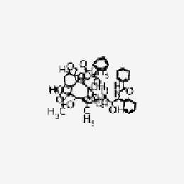 CC(=O)O[C@H]1C(=O)[C@@]2(C)[C@H]([C@H](OC(=O)c3ccccc3)[C@]3(O)C[C@H](OC(=O)[C@H](O)[C@@H](NC(=O)c4ccccc4)c4ccccc4)C(C)=C1C3(C)C)C1(OC(C)=O)CO[C@@H]1C[C@@H]2O